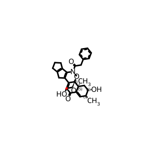 C[C@H]1C=C2C(=O)C=C3C4=C(C5=C(CCC5)C4)N(C(=O)Cc4ccccc4)O[C@]3(C(=O)CO)[C@@]2(C)C[C@@H]1O